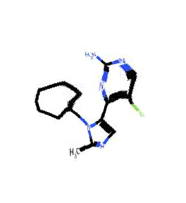 Cc1ncc(-c2nc(N)ncc2F)n1C1CCCCC1